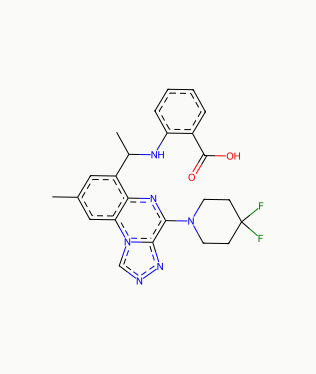 Cc1cc(C(C)Nc2ccccc2C(=O)O)c2nc(N3CCC(F)(F)CC3)c3nncn3c2c1